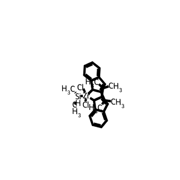 CC(C)C1=Cc2ccccc2[CH]1[Zr]([Cl])([Cl])([CH]1C(C(C)C)=Cc2ccccc21)[SiH](C)C